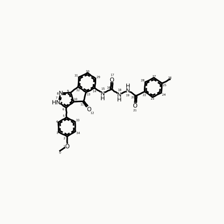 COc1ccc(-c2[nH]nc3c2C(=O)c2c(NC(=O)NNC(=O)c4ccc(C)cc4)cccc2-3)cc1